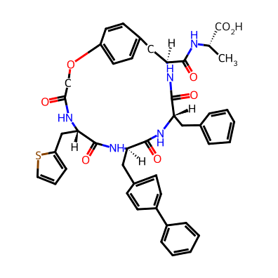 C[C@H](NC(=O)[C@@H]1Cc2ccc(cc2)OCC(=O)N[C@@H](Cc2cccs2)C(=O)N[C@H](Cc2ccc(-c3ccccc3)cc2)C(=O)N[C@@H](Cc2ccccc2)C(=O)N1)C(=O)O